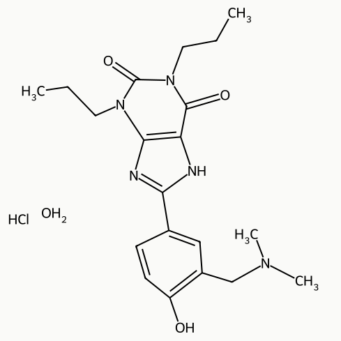 CCCn1c(=O)c2[nH]c(-c3ccc(O)c(CN(C)C)c3)nc2n(CCC)c1=O.Cl.O